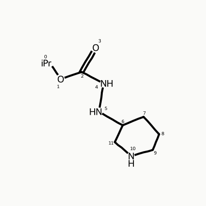 CC(C)OC(=O)NNC1CCCNC1